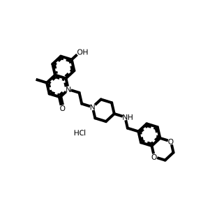 Cc1cc(=O)n(CCN2CCC(NCc3ccc4c(c3)OCCO4)CC2)c2cc(O)ccc12.Cl